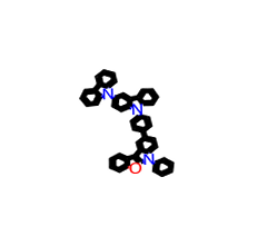 c1ccc(-n2c3ccc(-c4ccc(-n5c6ccccc6c6cc(-n7c8ccccc8c8ccccc87)ccc65)cc4)cc3c3c4ccccc4oc32)cc1